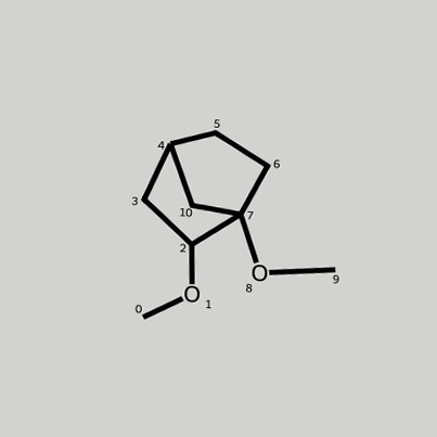 COC1CC2CCC1(OC)C2